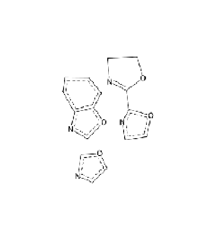 c1ccc2ocnc2c1.c1coc(C2=NCCO2)n1.c1cocn1